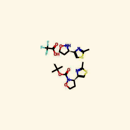 Cc1nc([C@@H]2CCON2)cs1.Cc1nc([C@@H]2CCON2C(=O)OC(C)(C)C)cs1.O=C(O)C(F)(F)F